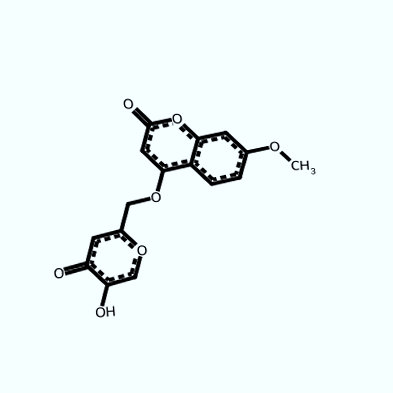 COc1ccc2c(OCc3cc(=O)c(O)co3)cc(=O)oc2c1